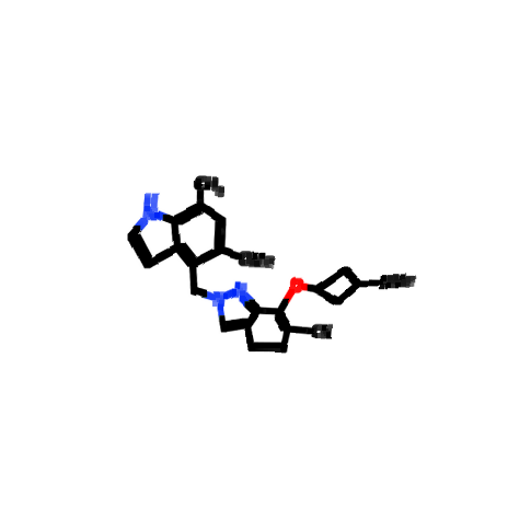 CNC1CC(Oc2c(C#N)ccc3cn(Cc4c(OC)cc(C)c5[nH]ccc45)nc23)C1